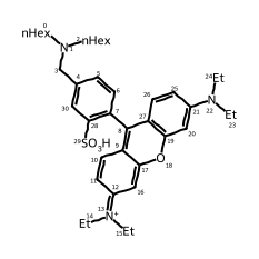 CCCCCCN(CCCCCC)Cc1ccc(-c2c3ccc(=[N+](CC)CC)cc-3oc3cc(N(CC)CC)ccc23)c(S(=O)(=O)O)c1